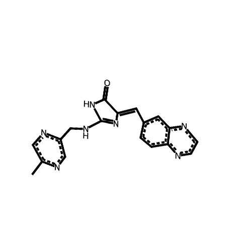 Cc1cnc(CNC2=N/C(=C\c3ccc4nccnc4c3)C(=O)N2)cn1